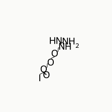 N=C(N)NCCOCCOCCOC(=O)CI